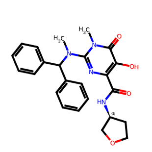 CN(c1nc(C(=O)N[C@H]2CCOC2)c(O)c(=O)n1C)C(c1ccccc1)c1ccccc1